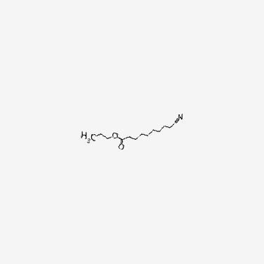 CCCOC(=O)CCCCCCCCC#N